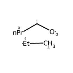 CCCC[O].C[CH]C